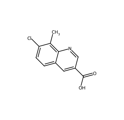 Cc1c(Cl)ccc2cc(C(=O)O)cnc12